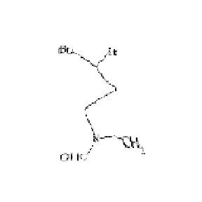 CCC(CCN(C)C=O)C(C)(C)C